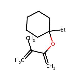 C=C(C)C(=C)OC1(CC)CCCCC1